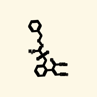 COC=C(C(=O)OC)c1ccccc1CS(=O)(=O)C(C)=NOCc1ccccc1